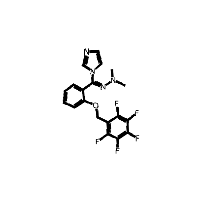 CN(C)N=C(c1ccccc1OCc1c(F)c(F)c(F)c(F)c1F)n1ccnc1